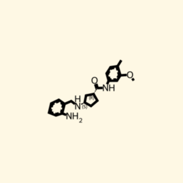 COc1cc(NC(=O)[C@@H]2CC[C@H](NCc3ccccc3N)C2)ccc1C